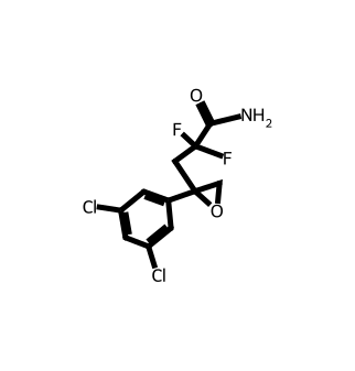 NC(=O)C(F)(F)CC1(c2cc(Cl)cc(Cl)c2)CO1